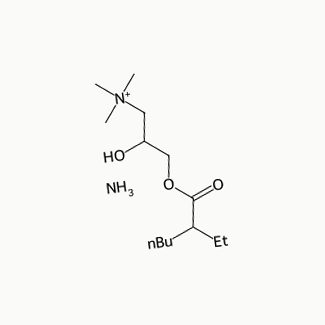 CCCCC(CC)C(=O)OCC(O)C[N+](C)(C)C.N